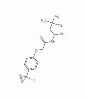 CC(CC(C)(C)N)NC(=O)COc1ccc(C2(C(F)(F)F)N=N2)cc1